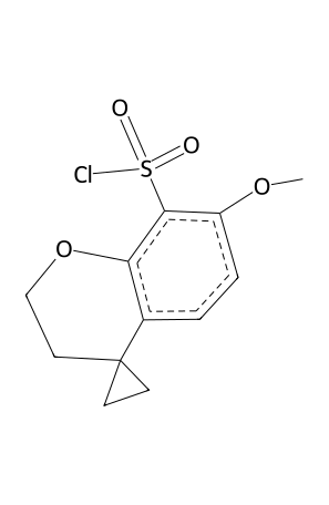 COc1ccc2c(c1S(=O)(=O)Cl)OCCC21CC1